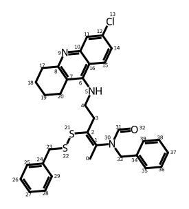 CC(=C(CCNc1c2c(nc3cc(Cl)ccc13)CCCC2)SSCc1ccccc1)N(C=O)Cc1ccccc1